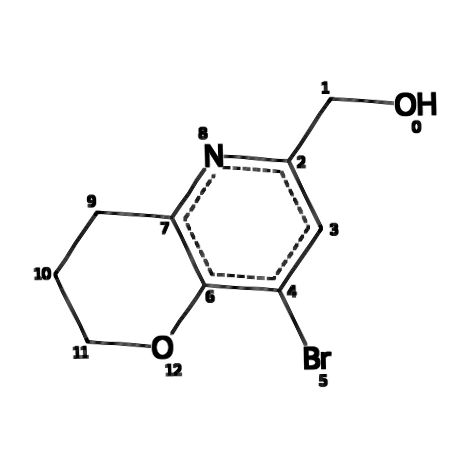 OCc1cc(Br)c2c(n1)CCCO2